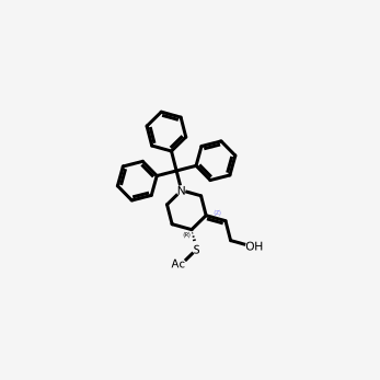 CC(=O)S[C@@H]1CCN(C(c2ccccc2)(c2ccccc2)c2ccccc2)C/C1=C/CO